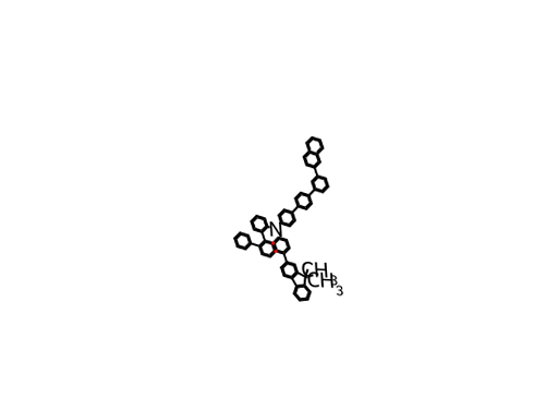 CC1(C)c2ccccc2-c2ccc(-c3ccc(N(c4ccc(-c5ccc(-c6cccc(-c7ccc8ccccc8c7)c6)cc5)cc4)c4ccccc4-c4ccccc4-c4ccccc4)cc3)cc21